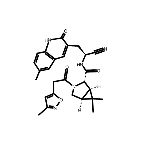 Cc1ccc2[nH]c(=O)c(C[C@@H](C#N)NC(=O)[C@@H]3[C@@H]4[C@H](CN3C(=O)Cc3cc(C)no3)C4(C)C)cc2c1